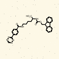 O=C(NC(CCCCNC(=O)c1ccc(-c2nncnn2)cc1)C(=O)O)OCC1c2ccccc2-c2ccccc21